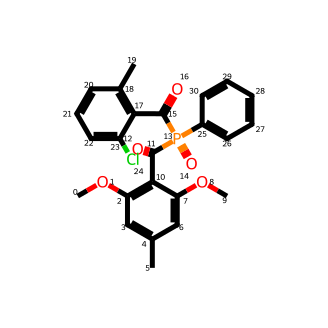 COc1cc(C)cc(OC)c1C(=O)P(=O)(C(=O)c1c(C)cccc1Cl)c1ccccc1